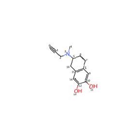 C#CCN(C)C1CCc2cc(O)c(O)cc2C1